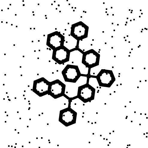 c1ccc(N(c2cccc([Si](c3ccccc3)(c3ccccc3)c3cccc(N(c4ccccc4)c4cccc5ccccc45)c3)c2)c2ccc3ccccc3c2)cc1